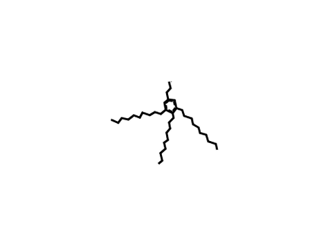 [CH2]CCc1cc(CCCCCCCCCC)c(CCCCCCCCCC)c(CCCCCCCCCC)c1